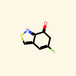 O=C1CC(F)=Cc2csnc21